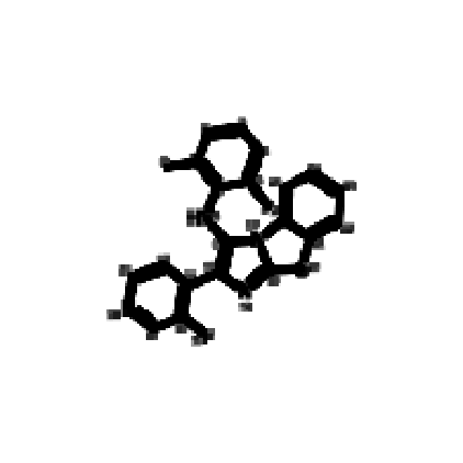 Cc1cccc(C)c1Nc1c(-c2ccncc2F)nc2sc3ccccc3n12